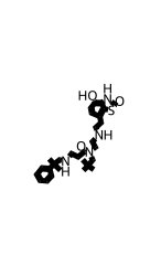 CC(C)(C)CN(CCNCCc1ccc(O)c2[nH]c(=O)sc12)C(=O)CCNCC(C)(C)c1ccccc1